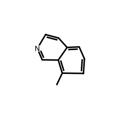 Cc1cccc2ccncc12